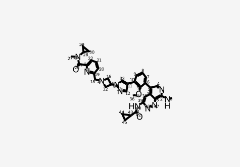 CNc1ncc(-c2cccc(-c3cnn(C4CN(Cc5cccc(C(=O)N(C)C6CC6)n5)C4)c3)c2OC)c2cc(NC(=O)C3CC3)nnc12